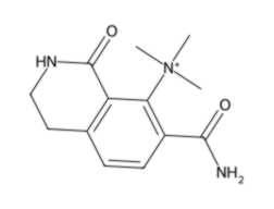 C[N+](C)(C)c1c(C(N)=O)ccc2c1C(=O)NCC2